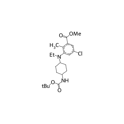 CCN(c1cc(Cl)cc(C(=O)OC)c1C)C1CCC(NC(=O)OC(C)(C)C)CC1